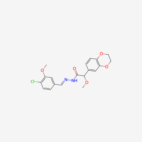 COc1cc(/C=N/NC(=O)C(OC)c2ccc3c(c2)OCCO3)ccc1Cl